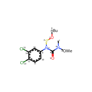 CCCCOSN(C(=O)N(C)OC)c1ccc(Cl)c(Cl)c1